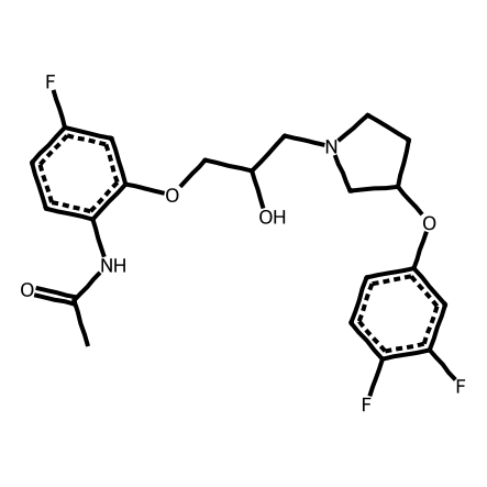 CC(=O)Nc1ccc(F)cc1OCC(O)CN1CCC(Oc2ccc(F)c(F)c2)C1